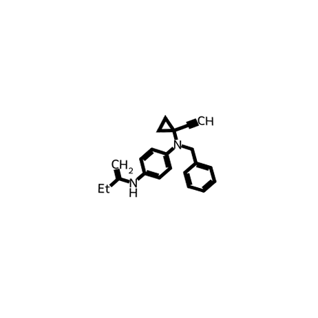 C#CC1(N(Cc2ccccc2)c2ccc(NC(=C)CC)cc2)CC1